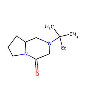 CCC(C)(C)N1CC(=O)N2CCCC2C1